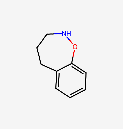 c1ccc2c(c1)CCCNO2